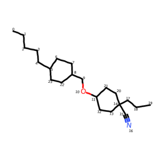 CCCCCC1CCC(COC2CCC(C#N)(CCC)CC2)CC1